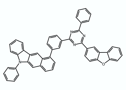 c1ccc(-c2nc(-c3cccc(-c4cccc5cc6c(cc45)c4ccccc4n6-c4ccccc4)c3)nc(-c3ccc4oc5ccccc5c4c3)n2)cc1